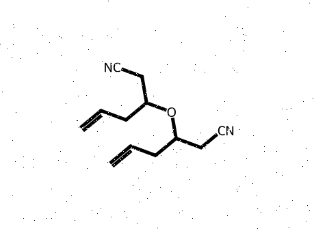 C=CCC(CC#N)OC(CC#N)CC=C